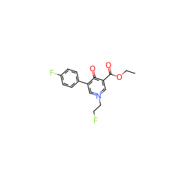 CCOC(=O)c1cn(CCF)cc(-c2ccc(F)cc2)c1=O